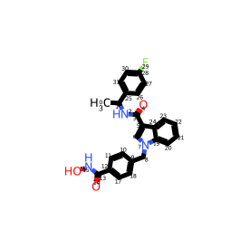 CC(NC(=O)c1cn(Cc2ccc(C(=O)NO)cc2)c2ccccc12)c1ccc(F)cc1